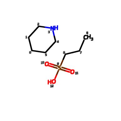 C1CCNCC1.CCCS(=O)(=O)O